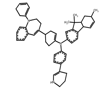 CC1C=CC2c3ccc(N(C4=CCC(C5=Cc6ccccc6N(C6=CC=CCC6)CC5)CC4)c4ccc(C5=CNCCC5)cc4)cc3C(C)(C)C2C1